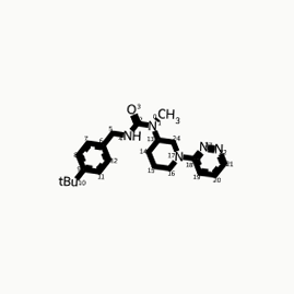 CN(C(=O)NCc1ccc(C(C)(C)C)cc1)C1CCCN(c2cccnn2)C1